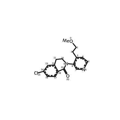 COCCc1ccncc1N1CCc2cc(Cl)ccc2C1=O